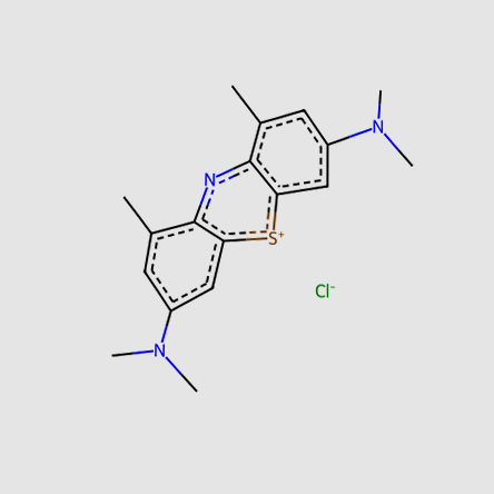 Cc1cc(N(C)C)cc2[s+]c3cc(N(C)C)cc(C)c3nc12.[Cl-]